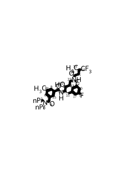 CCCN(CCC)C(=O)c1cc(C)cc(C(=O)N[C@@H](Cc2cc(F)cc(F)c2)[C@H](O)CCNC(=O)CC(C)C(F)(F)F)c1